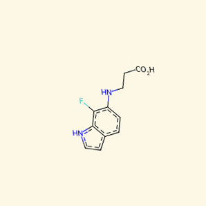 O=C(O)CCNc1ccc2cc[nH]c2c1F